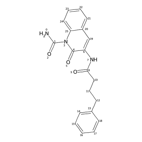 NC(=O)n1c(=O)c(NC(=O)[CH]CCc2ccccc2)cc2ccccc21